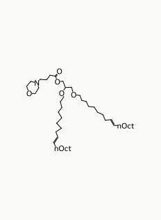 CCCCCCCCC=CCCCCCCCCOCC(COC(=O)CCCN1CCOCC1)OCCCCCCCCC=CCCCCCCCC